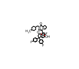 CN1CCC(CNC(=O)C2CCCN2C(=O)C2CC(O)CN2C(=O)CC(c2ccc(F)cc2)(c2ccc(F)cc2)c2ccc(F)cc2)CC1